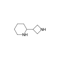 C1CCC(C2CNC2)NC1